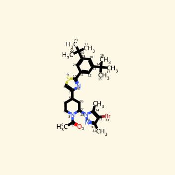 CC(=O)N1CCC(c2csc(-c3cc(C(C)(C)C)cc(C(C)(C)C)c3)n2)CC1n1nc(C)c(Br)c1C